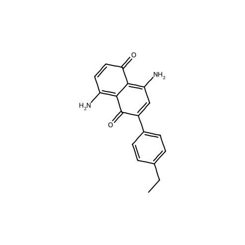 CCc1ccc(C2=CC(N)=C3C(=O)C=CC(N)=C3C2=O)cc1